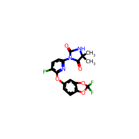 CC1(C)NC(=O)N(c2ccc(F)c(Oc3ccc4c(c3)OC(F)(F)O4)n2)C1=O